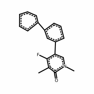 Cc1c(F)c(-c2cccc(-c3ccccc3)c2)cn(C)c1=O